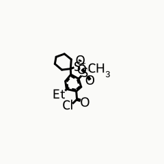 CCc1cc(C2([S+]=O)CCCCC2)c(S(C)(=O)=O)cc1C(=O)Cl